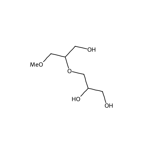 COCC(CO)OCC(O)CO